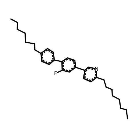 CCCCCCCCc1ccc(-c2ccc(-c3ccc(CCCCCCC)cc3)c(F)c2)cn1